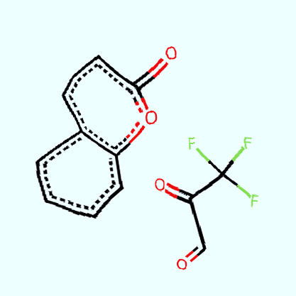 O=CC(=O)C(F)(F)F.O=c1ccc2ccccc2o1